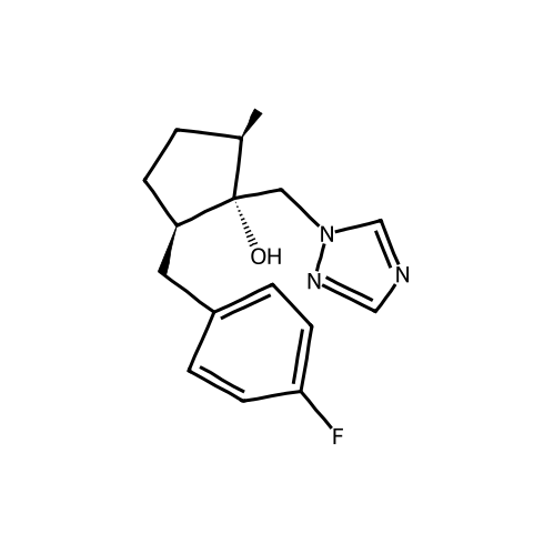 C[C@@H]1CC[C@H](Cc2ccc(F)cc2)[C@]1(O)Cn1cncn1